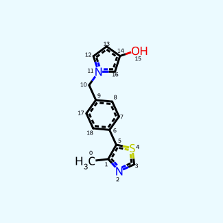 Cc1ncsc1-c1ccc(Cn2ccc(O)c2)cc1